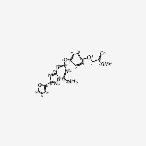 COC(=O)COc1ccc(Oc2nc(N)n3nc(-c4ccco4)nc3n2)cc1